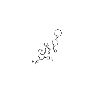 Cc1cc(C)c(-c2cc(C)c(C(=O)N3CCC(N4CCCCCC4)CC3)s2)c(C)c1